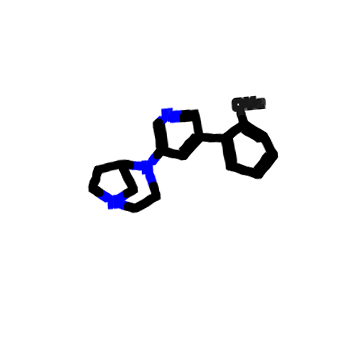 COc1ccccc1-c1cncc(N2CCN3CCC2C3)c1